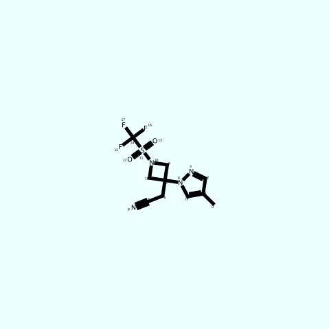 Cc1cnn(C2(CC#N)CN(S(=O)(=O)C(F)(F)F)C2)c1